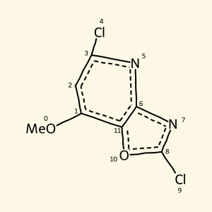 COc1cc(Cl)nc2nc(Cl)oc12